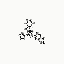 Nc1nc(-c2cc(-c3ccon3)n(Cc3ccccc3)n2)ncc1F